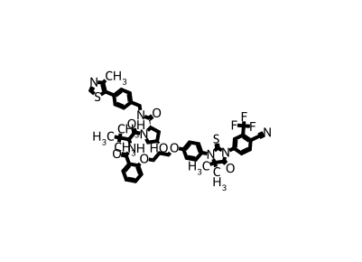 Cc1ncsc1-c1ccc(CNC(=O)[C@@H]2C[C@@H](O)CN2C(=O)C(NC(=O)c2ccccc2OCCCOc2ccc(N3C(=S)N(c4ccc(C#N)c(C(F)(F)F)c4)C(=O)C3(C)C)cc2)C(C)(C)C)cc1